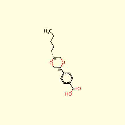 CCCCC[C@@H]1CO[C@@H](c2ccc(C(=O)O)cc2)CO1